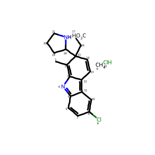 C.CC1=C2N=c3ccc(Cl)cc3=C2C=CC1(CC(=O)O)C1CCCN1.Cl